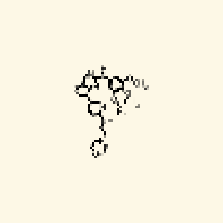 COc1cc(Nc2ncc3scc(-c4ccc(NCCN5CCOCC5)nc4)c3n2)cc(OC)c1OC